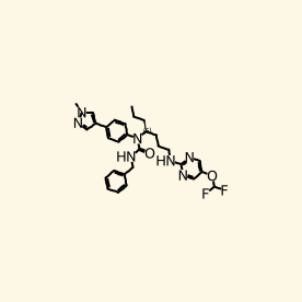 CCC[C@@H](CCCNc1ncc(OC(F)F)cn1)N(C(=O)NCc1ccccc1)c1ccc(-c2cnn(C)c2)cc1